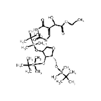 CCOC(=O)C(O)c1cn([C@@H]2O[C@H](CO[Si](C)(C)C(C)(C)C)C(O[Si](C)(C)C(C)(C)C)C2O[Si](C)(C)C(C)(C)C)c(=O)[nH]c1=O